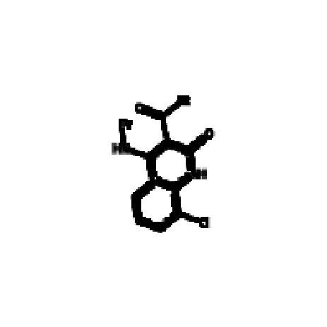 CCC(=O)c1c(NC(C)C)c2cccc(Cl)c2[nH]c1=O